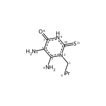 CC(C)Cn1c(N)c(N)c(=O)[nH]c1=S